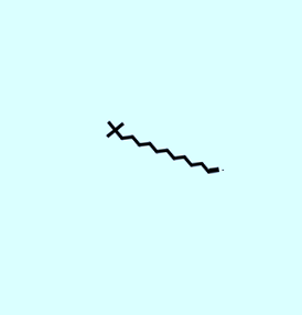 [CH]=CCCCCCCCCCCC(C)(C)C